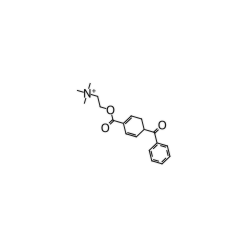 C[N+](C)(C)CCOC(=O)C1=CCC(C(=O)c2ccccc2)C=C1